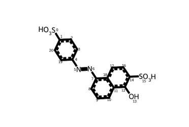 O=S(=O)(O)c1ccc(N=Nc2cccc3c(O)c(S(=O)(=O)O)ccc23)cc1